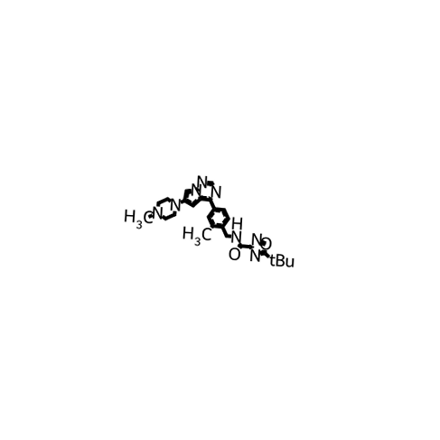 Cc1cc(-c2ncnn3cc(N4CCN(C)CC4)cc23)ccc1CNC(=O)c1noc(C(C)(C)C)n1